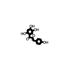 O=C1/C(=C/c2ccc(O)cc2)Oc2c(O)c(O)cc(O)c21